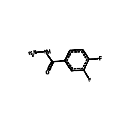 NNC(=O)c1ccc(F)c(F)c1